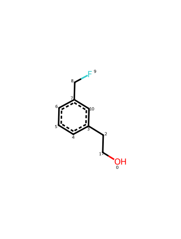 O[CH]Cc1cccc(CF)c1